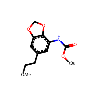 COCCc1cc(NC(=O)OC(C)(C)C)c2c(c1)OCO2